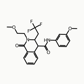 COCCN1C(=O)c2ccccc2C(C(=O)Nc2cccc(OC)c2)C1CC(F)(F)F